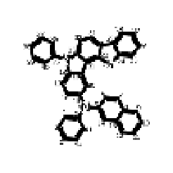 c1ccc(N(c2ccc3ccccc3c2)c2ccc3c(c2)c2c4sc5ccccc5c4ccc2n3-c2ccccc2)cc1